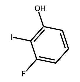 Oc1cccc(F)c1I